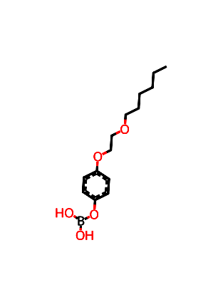 CCCCCCOCCOc1ccc(OB(O)O)cc1